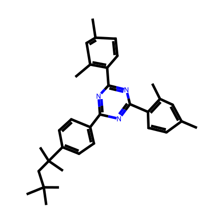 Cc1ccc(-c2nc(-c3ccc(C(C)(C)CC(C)(C)C)cc3)nc(-c3ccc(C)cc3C)n2)c(C)c1